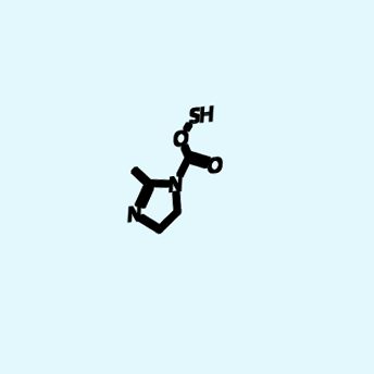 CC1=NCCN1C(=O)OS